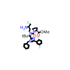 COC(=O)[C@@H]1CCCN1C(=O)N(CCC(N)CF)[C@@H](c1nc(-c2cc(F)ccc2F)cn1Cc1ccccc1)C(C)(C)C